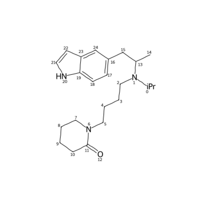 CC(C)N(CCCCN1CCCCC1=O)C(C)Cc1ccc2[nH]ccc2c1